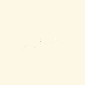 C=CCNCC(C)O.Cl